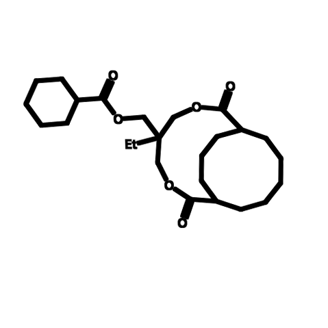 CCC1(COC(=O)C2CCCCC2)COC(=O)C2CCCCCC(CCC2)C(=O)OC1